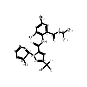 Bc1cc(C)c(NC(=O)c2cc(C(F)(F)F)nn2-c2ncccc2Cl)c(C(=O)NC(C)C)c1